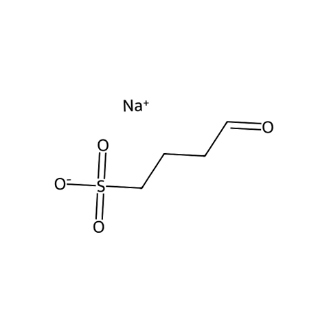 O=CCCCS(=O)(=O)[O-].[Na+]